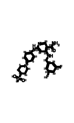 CS(=O)(=O)C1CCN(c2ccc(Nc3cc(NCc4cc(F)cc(F)c4)c(C(N)=O)cn3)cc2)CC1